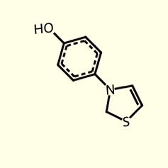 Oc1ccc(N2C=CSC2)cc1